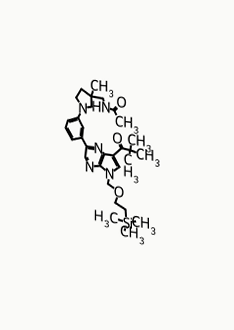 CC(=O)NCC1(C)CCN(c2cccc(-c3cnc4c(n3)c(C(=O)C(C)(C)C)cn4COCC[Si](C)(C)C)c2)C1